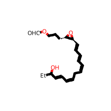 CCC(O)/C=C/C=C\C\C=C/C=C/C=C/[C@@H]1O[C@H]1CCCOC=O